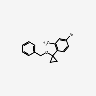 Cc1cc(Br)ccc1C1(OCc2ccccc2)CC1